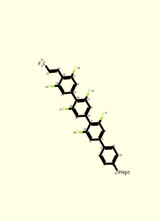 CCCCCCCc1ccc(-c2cc(F)c(-c3cc(F)c(-c4cc(F)c(/C=C/C(F)(F)F)c(F)c4)c(F)c3)c(F)c2)cc1